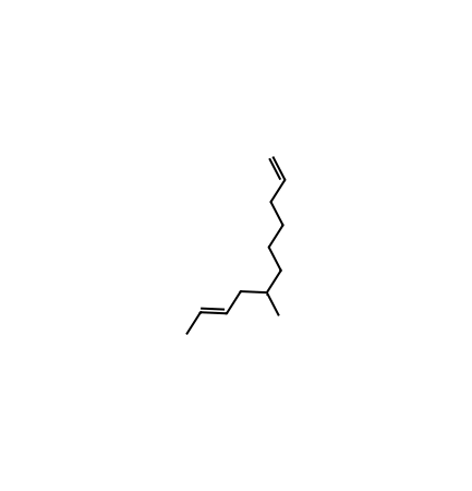 C=CCCCC[C](C)CC=CC